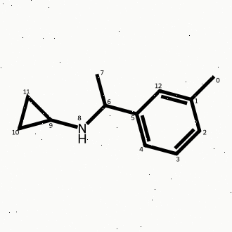 Cc1cccc(C(C)NC2CC2)c1